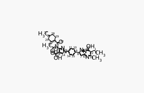 CCc1c(C)nc2cc(-c3ccc(-n4cc(C(=O)O)c(N(C(=O)C5CCC(C)CC5)C(C)C)n4)cc3)nn2c1O